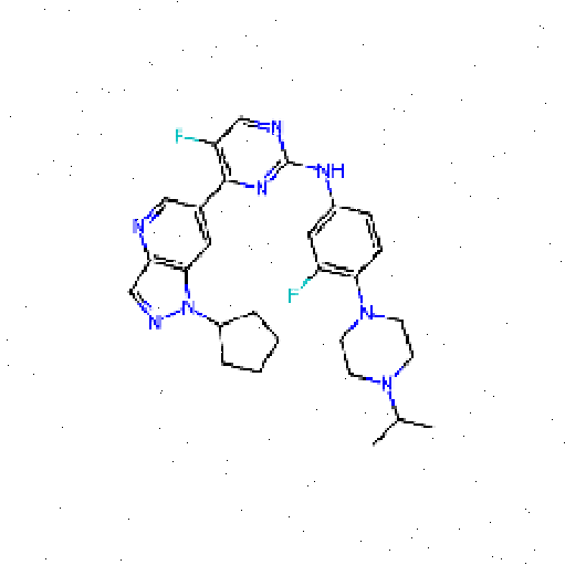 CC(C)N1CCN(c2ccc(Nc3ncc(F)c(-c4cnc5cnn(C6CCCC6)c5c4)n3)cc2F)CC1